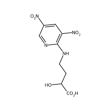 O=C(O)C(O)CCNc1ncc([N+](=O)[O-])cc1[N+](=O)[O-]